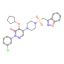 O=c1c(OC2CCCC2)c(N2CCN(S(=O)(=O)Cc3noc4ccccc34)CC2)cnn1-c1cccc(Cl)c1